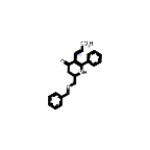 O=C(O)/C=C/C1=C(c2ccccc2)NC(COCc2ccccc2)CC1=O